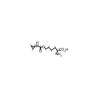 N[C@@H](CCCCOC(=O)NC1CC1)C(=O)O